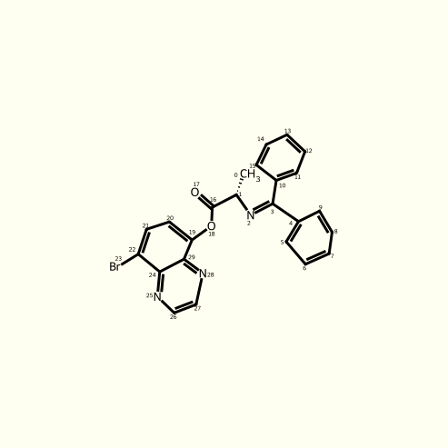 C[C@H](N=C(c1ccccc1)c1ccccc1)C(=O)Oc1ccc(Br)c2nccnc12